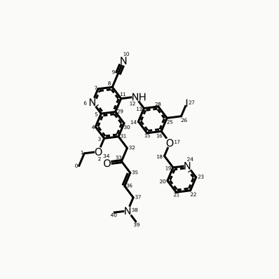 CCOc1cc2ncc(C#N)c(Nc3ccc(OCc4ccccn4)c(CI)c3)c2cc1CC(=O)/C=C/CN(C)C